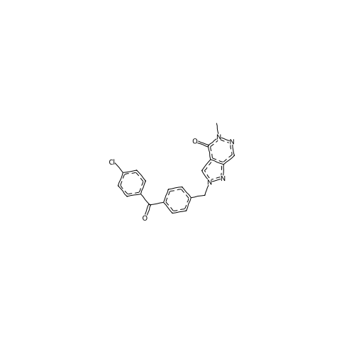 Cn1ncc2nn(Cc3ccc(C(=O)c4ccc(Cl)cc4)cc3)cc2c1=O